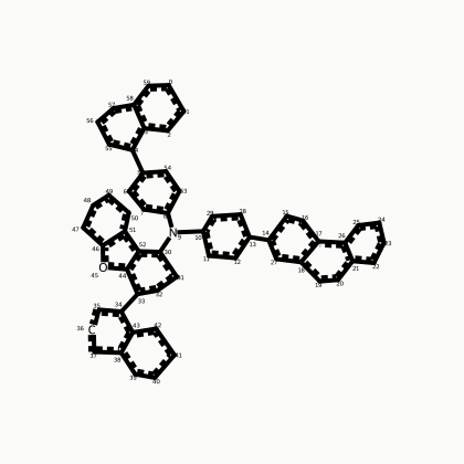 c1ccc2c(-c3ccc(N(c4ccc(-c5ccc6c(ccc7ccccc76)c5)cc4)c4ccc(-c5cccc6ccccc56)c5oc6ccccc6c45)cc3)cccc2c1